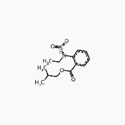 CCN(c1ccccc1C(=O)OCC(C)C)[SH](=O)=O